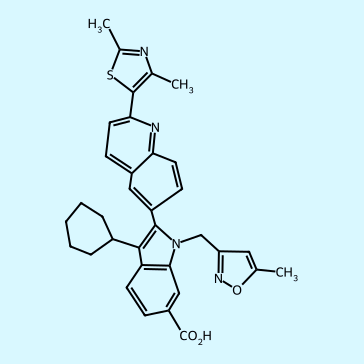 Cc1cc(Cn2c(-c3ccc4nc(-c5sc(C)nc5C)ccc4c3)c(C3CCCCC3)c3ccc(C(=O)O)cc32)no1